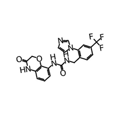 O=C1COc2c(cccc2NC(=O)NCc2ccc(C(F)(F)F)cc2-n2ccnc2)N1